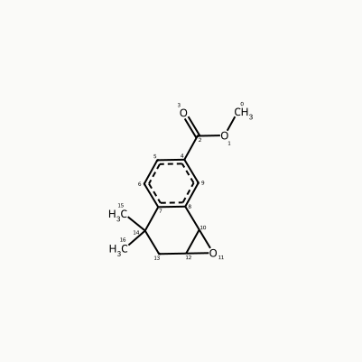 COC(=O)c1ccc2c(c1)C1OC1CC2(C)C